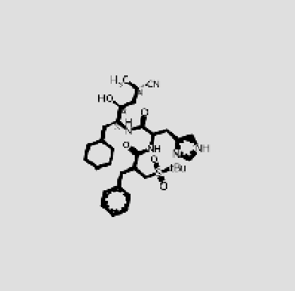 C[C@H](C#N)C[C@H](O)[C@H](CC1CCCCC1)NC(=O)C(Cc1c[nH]cn1)NC(=O)C(Cc1ccccc1)CS(=O)(=O)C(C)(C)C